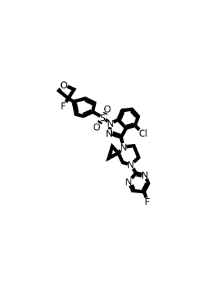 O=S(=O)(c1ccc(C2(F)COC2)cc1)n1nc(N2CCN(c3ncc(F)cn3)CC23CC3)c2c(Cl)cccc21